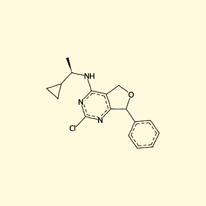 C[C@@H](Nc1nc(Cl)nc2c1COC2c1ccccc1)C1CC1